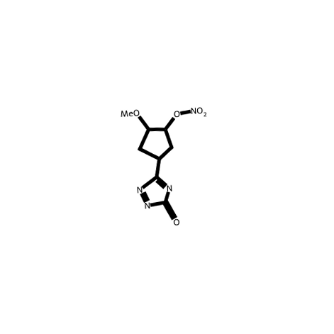 COC1CC(C2=NC(=O)N=N2)CC1O[N+](=O)[O-]